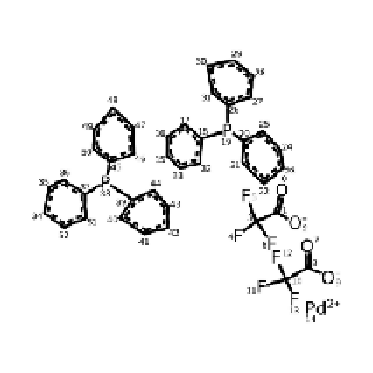 O=C([O-])C(F)(F)F.O=C([O-])C(F)(F)F.[Pd+2].c1ccc(P(c2ccccc2)c2ccccc2)cc1.c1ccc(P(c2ccccc2)c2ccccc2)cc1